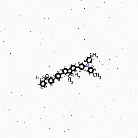 Cc1ccc(N(c2ccc(C)cc2)c2ccc(-c3ccc4c(c3)C(C)(C)c3cc(-c5ccc(-c6ccc7c(c6)C(C)(C)c6ccccc6-7)cc5)ccc3-4)cc2)cc1